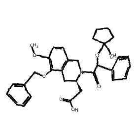 COc1ccc2c(c1OCc1ccccc1)C[C@H](CC(=O)O)N(C(=O)C(OC1(C)CCCC1)c1ccccc1)C2